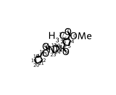 COC(=O)c1ccc(C(=O)N2CCN(C(=O)OCc3ccccc3)CC2)cc1C